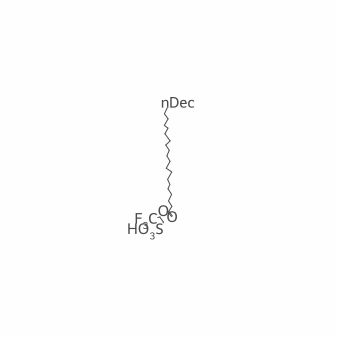 CCCCCCCCCCCCCCCCCCCCCCCCCCCCCC(=O)OC(CS(=O)(=O)O)C(F)(F)F